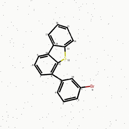 Brc1cccc(-c2cccc3c2sc2ccccc23)c1